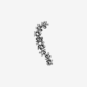 C1=C(c2ccc(-c3nc4cc5sc(-c6ccc(-c7ccc(C8CCCS8)s7)s6)nc5cc4s3)s2)SC(C2=CCCS2)C1